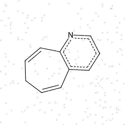 C1=Cc2cccnc2C=CC1